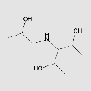 CC(O)CNC(C(C)O)C(C)O